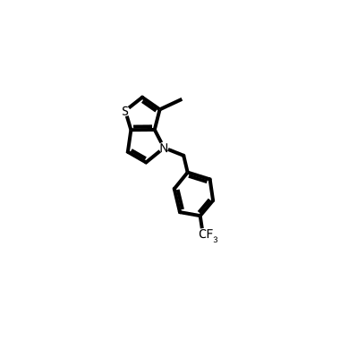 Cc1csc2ccn(Cc3ccc(C(F)(F)F)cc3)c12